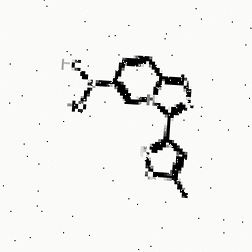 Cc1cc(-c2nnc3ccc(B(O)O)cn23)no1